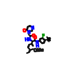 C=C(/C=C\C(=C/C)COC)[C@@H](NC(=O)Cn1cnccc1=O)C(=O)Nc1ccc([Si](C)(C)C)c(F)c1